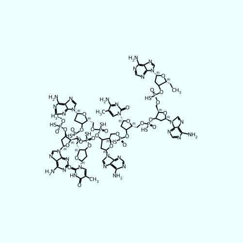 CC[C@H]1O[C@@H](n2cnc3c(N)ncnc32)CC1OP(=O)(S)OC[C@H]1O[C@@H](n2cnc3c(N)ncnc32)CC1OP(=O)(S)OC[C@H]1O[C@@H](n2cc(C)c(N)nc2=O)CC1OP(=O)(S)OC[C@H]1O[C@@H](n2cnc3c(N)ncnc32)CC1OP(=O)(S)OC[C@H]1O[C@@H](n2cnc3c(N)ncnc32)CC1OP(=O)(S)OC[C@H]1O[C@@H](n2cc(C)c(=O)[nH]c2=O)CC1OP(=O)(S)OC[C@H]1O[C@@H](n2cnc3c(N)ncnc32)CC1OP(=O)(S)OC